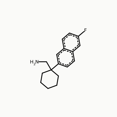 NCC1(c2ccc3cc(F)ccc3c2)CCCCC1